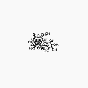 O=P(O)(O)OP(=O)(O)OP(=O)(O)OP(=O)(O)OP(=O)(O)O[C@]1(O)[C@H](O)[C@H](O)[C@@H](O)[C@H](O)[C@H]1O.[KH]